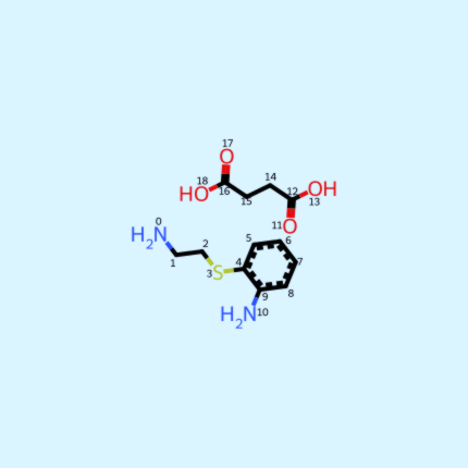 NCCSc1ccccc1N.O=C(O)CCC(=O)O